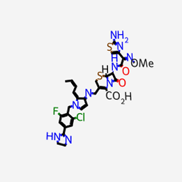 C\C=C/C=C1\C(=N\CC2=C(C(=O)O)N3C(=O)[C@@H](NC(=O)/C(=N\OC)c4csc(N)n4)[C@H]3SC2)C=CN1Cc1c(F)cc(C2=NCCN2)cc1Cl